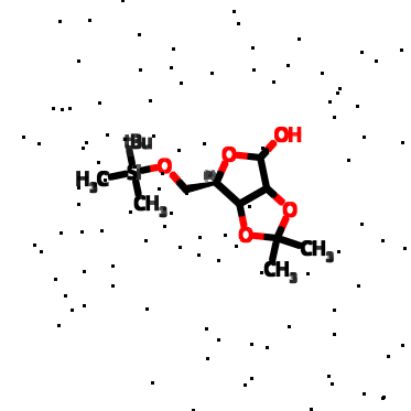 CC1(C)OC2C(O)O[C@H](CO[Si](C)(C)C(C)(C)C)C2O1